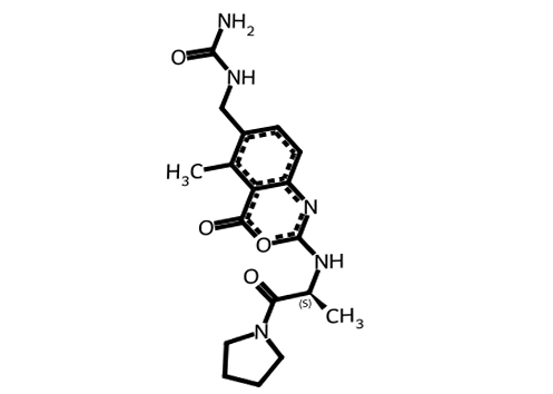 Cc1c(CNC(N)=O)ccc2nc(N[C@@H](C)C(=O)N3CCCC3)oc(=O)c12